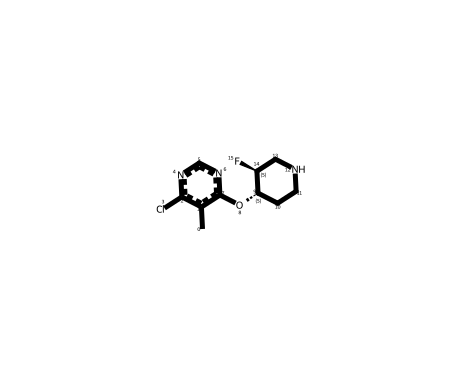 Cc1c(Cl)ncnc1O[C@H]1CCNC[C@@H]1F